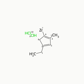 CCC1=CC(C)=[C]([Zr])C1.Cl.Cl